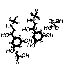 CC(C)(C)NCC(O)c1cc(O)cc(O)c1.CC(C)(C)NCC(O)c1cc(O)cc(O)c1.CC(C)O.O=S(=O)(O)O